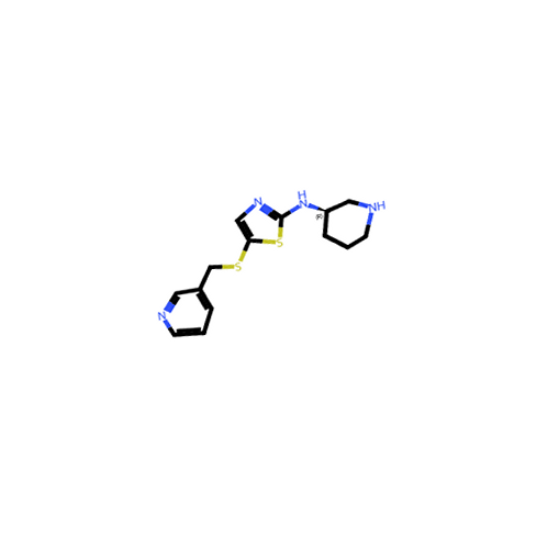 c1cncc(CSc2cnc(N[C@@H]3CCCNC3)s2)c1